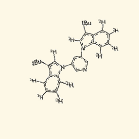 [2H]c1c([2H])c([2H])c2c(c1[2H])c(C(C)(C)C)c([2H])n2-c1cncc(-n2c([2H])c(C(C)(C)C)c3c([2H])c([2H])c([2H])c([2H])c32)c1